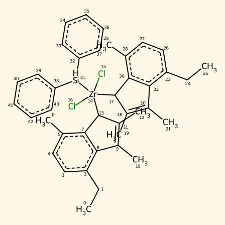 CCc1ccc(C)c2c1C(C)=C(C)[CH]2[Zr]([Cl])([Cl])([CH]1C(C)=C(C)c2c(CC)ccc(C)c21)[SiH](c1ccccc1)c1ccccc1